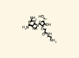 NCCNC(=O)CO[C@H]1[C@@H](O)[C@@H](CO)O[C@H]1n1cnc2c(N)nc(N)nc21